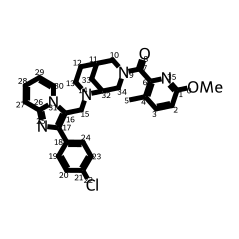 COc1ccc(C)c(C(=O)N2CC3CCN(Cc4c(-c5ccc(Cl)cc5)nc5ccccn45)C(C3)C2)n1